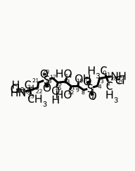 CC(C)(CCS(=O)(=O)CC(O)C(O)C(O)C(O)CS(=O)(=O)CCC(C)(C)NCl)NCl